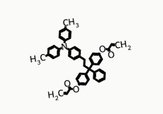 C=CC(=O)Oc1ccc(C(CCc2ccc(N(c3ccc(C)cc3)c3ccc(C)cc3)cc2)(c2ccccc2)c2ccc(OC(=O)C=C)cc2)cc1